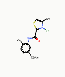 COc1ccc(C(C)=O)c(NC(=O)C2SC=C(C(C)C)N2Cl)c1